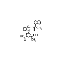 COc1cc(C(=O)O)cc(N2CC(CN[C@H](C)c3cccc4ccccc34)Oc3ccccc32)c1.Cl